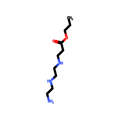 CCCOC(=O)CCNCCNCCN